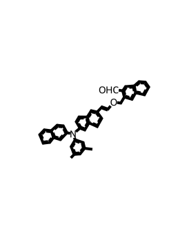 Cc1cc(C)cc(N(c2ccc3ccccc3c2)c2ccc3cc(C=COCc4cc5ccccc5cc4C=O)ccc3c2)c1